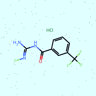 Cl.NC(=NF)NC(=O)c1cccc(C(F)(F)F)c1